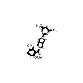 COc1cccc(OC)c1C(=O)N1CC2CN(c3nc(C)cc(C)n3)CC2C1